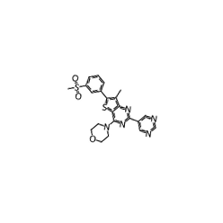 Cc1c(-c2cccc(S(C)(=O)=O)c2)sc2c(N3CCOCC3)nc(-c3cncnc3)nc12